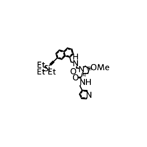 CC[Si](C#Cc1ccc2cccc(CNC(=O)N3C[C@H](OC)C[C@H]3C(=O)NCc3cccnc3)c2c1)(CC)CC